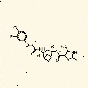 CC1NC(C(F)(F)F)C(C(=O)N[C@@H]2C[C@H](NC(=O)COc3ccc(Cl)c(F)c3)C3CC2C3)S1